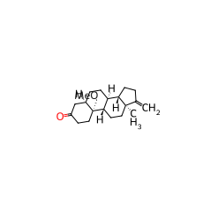 C=C1CC[C@H]2[C@@H]3CC[C@@H]4CC(=O)CC[C@]4(COC)[C@H]3CC[C@]12C